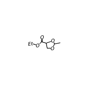 CCOC(=O)C1COC(C)O1